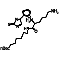 CCCCCCCCCCCCCCCCNC(=O)[C@@H](N)CCCCN.S=C1N=CC(c2ccco2)=N1